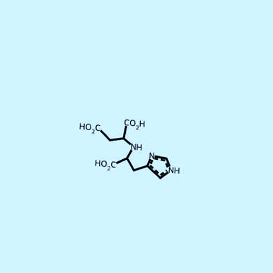 O=C(O)CC(NC(Cc1c[nH]cn1)C(=O)O)C(=O)O